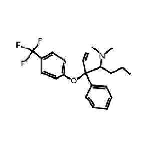 C=CC(Oc1ccc(C(F)(F)F)cc1)(c1ccccc1)C(CCC)N(C)C